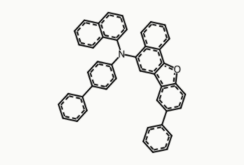 c1ccc(-c2ccc(N(c3cccc4ccccc34)c3cc4c5cc(-c6ccccc6)ccc5oc4c4ccccc34)cc2)cc1